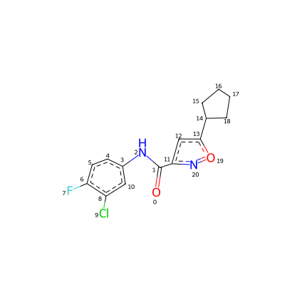 O=C(Nc1ccc(F)c(Cl)c1)c1cc(C2CCCC2)on1